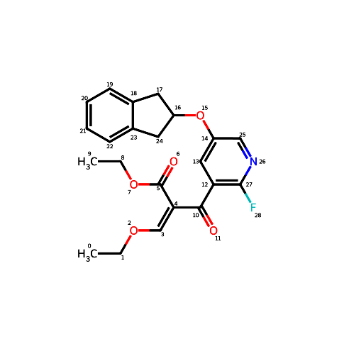 CCOC=C(C(=O)OCC)C(=O)c1cc(OC2Cc3ccccc3C2)cnc1F